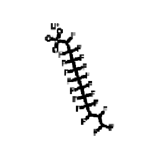 O=S(=O)([O-])C(F)C(F)(F)C(F)(F)C(F)(F)C(F)(F)C(F)(F)C(F)(F)C(F)(F)C(F)C(F)C(F)F.[Li+]